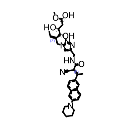 C/C=C(/Cn1cc(CNC(=O)/C(C#N)=C(\C)c2ccc3cc(N4CCCCC4)ccc3c2)nn1)[C@@H](O)[C@H](O)C[C@H](O)OC